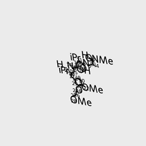 CNC(=O)[C@@H](C)CNC(=O)[C@@H](C[C@H](O)[C@@H](N)C[C@H](Cc1ccc(OC)c(OCCCOC)c1)C(C)C)C(C)C